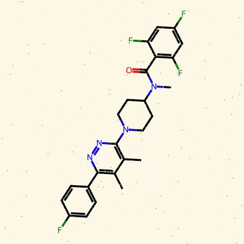 Cc1c(-c2ccc(F)cc2)nnc(N2CCC(N(C)C(=O)c3c(F)cc(F)cc3F)CC2)c1C